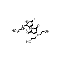 CC(=O)O.O=C1C=CC(=O)N1.O=C1C=CC(=O)N1.OCCOCCO